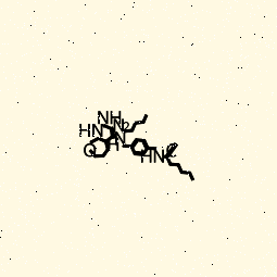 C=C=C(CCCCC)NCc1ccc(Cn2c(CCCC)nc3c2[C@H]2CCCOCC2NC3N)cc1